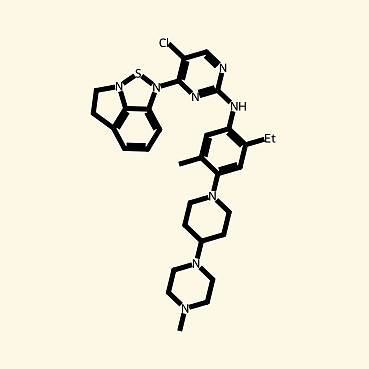 CCc1cc(N2CCC(N3CCN(C)CC3)CC2)c(C)cc1Nc1ncc(Cl)c(N2SN3CCc4cccc2c43)n1